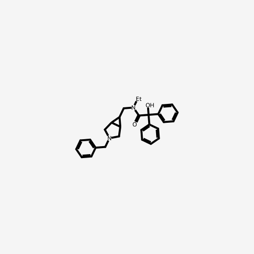 CCN(CC1C2CN(Cc3ccccc3)CC21)C(=O)C(O)(c1ccccc1)c1ccccc1